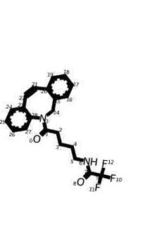 O=C(CCCCNC(=O)C(F)(F)F)N1Cc2ccccc2C#Cc2ccccc21